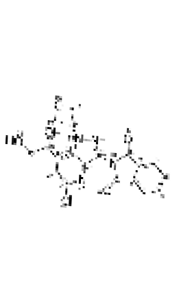 O=C1c2ccccc2C(=O)N1c1nn(C2COC2)c2c(C(O)CO)cc(Cl)nc12